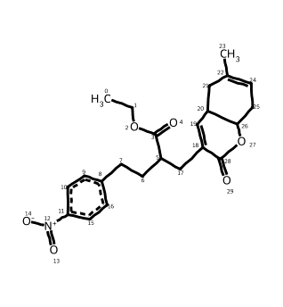 CCOC(=O)C(CCc1ccc([N+](=O)[O-])cc1)CC1=CC2CC(C)=CCC2OC1=O